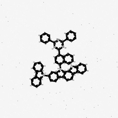 c1ccc(-c2nc(-c3ccccc3)nc(-c3ccc(-n4c5cc(-n6c7ccccc7c7ccccc76)ccc5c5ccc6c7ccccc7oc6c54)c4ccccc34)n2)cc1